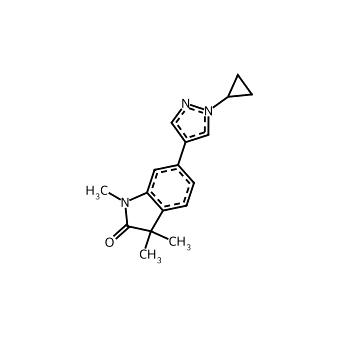 CN1C(=O)C(C)(C)c2ccc(-c3cnn(C4CC4)c3)cc21